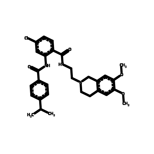 COc1cc2c(cc1OC)CN(CCNC(=O)c1ccc(Cl)cc1NC(=O)c1ccc(C(C)C)cc1)CC2